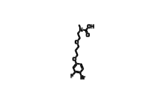 CN(CCOCCCOc1ccc(Br)c(F)c1)C(=O)O